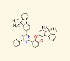 CC1(C)c2ccccc2-c2ccc(-c3nc(-c4ccccc4)nc(-c4cccc5c4Oc4ccc6c(c4O5)-c4ccccc4C6(C)C)n3)cc21